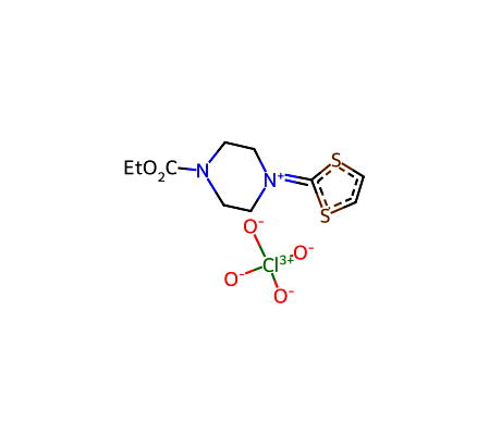 CCOC(=O)N1CC[N+](=c2sccs2)CC1.[O-][Cl+3]([O-])([O-])[O-]